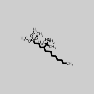 CCCCCCCCC(CCC[Si](OC)(OC)OC)C(C)(C)N.Cl